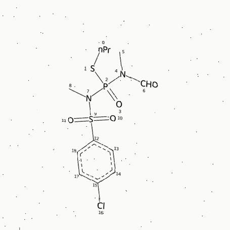 CCCSP(=O)(N(C)C=O)N(C)S(=O)(=O)c1ccc(Cl)cc1